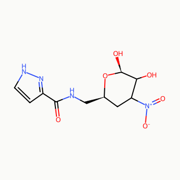 O=C(NC[C@@H]1CC([N+](=O)[O-])C(O)[C@H](O)O1)c1cc[nH]n1